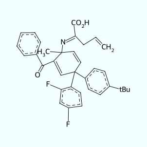 C=CCC(=NC1(C)C=CC(c2ccc(C(C)(C)C)cc2)(c2ccc(F)cc2F)C=C1C(=O)c1ccccc1)C(=O)O